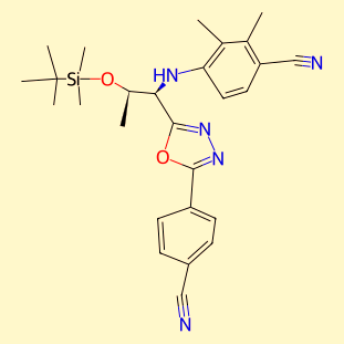 Cc1c(C#N)ccc(N[C@@H](c2nnc(-c3ccc(C#N)cc3)o2)[C@@H](C)O[Si](C)(C)C(C)(C)C)c1C